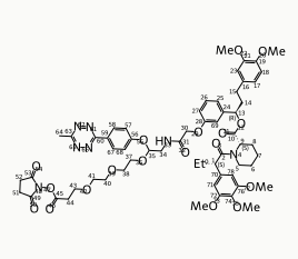 CC[C@H](C(=O)N1CCCC[C@H]1C(=O)O[C@H](CCc1ccc(OC)c(OC)c1)c1cccc(OCC(=O)NCC(OCCOCCOCCC(=O)ON2C(=O)CCC2=O)Oc2ccc(-c3nnc(C)nn3)cc2)c1)c1cc(OC)c(OC)c(OC)c1